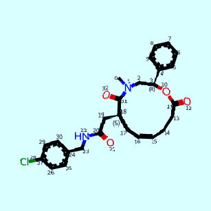 CN1C[C@@H](c2ccccc2)OC(=O)CCC=CC[C@@H](CC(=O)NCc2ccc(Cl)cc2)C1=O